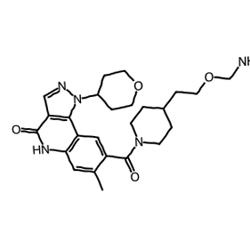 Cc1cc2[nH]c(=O)c3cnn(C4CCOCC4)c3c2cc1C(=O)N1CCC(CCOCN)CC1